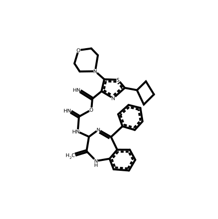 C=C1Nc2ccccc2C(c2ccccc2)=NC1NC(=N)OC(=N)c1nc(C2CCC2)sc1N1CCOCC1